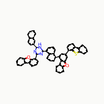 c1ccc2cc(C3N=C(c4cccc5c4oc4ccccc45)N=C(c4cccc5c(-c6cc(-c7cccc8c7sc7ccccc78)cc7oc8ccccc8c67)cccc45)N3)ccc2c1